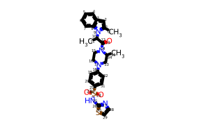 Cc1cc2ccccc2n1C(C)C(=O)N1CCN(c2ccc(S(=O)(=O)Nc3nccs3)cc2)CC1C